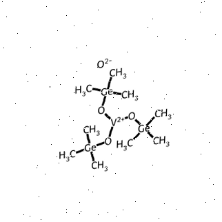 [CH3][Ge]([CH3])([CH3])[O][V+2]([O][Ge]([CH3])([CH3])[CH3])[O][Ge]([CH3])([CH3])[CH3].[O-2]